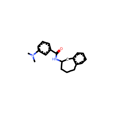 CN(C)c1cccc(C(=O)NC2CCCc3ccccc3C2)c1